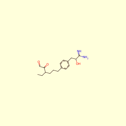 CC[C](CCCc1ccc(CC(O)C(=N)N)cc1)C(=O)C=O